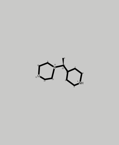 C[C@@H](C1CCNCC1)N1CCOCC1